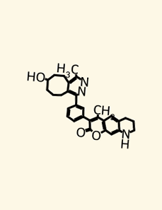 Cc1nnc(-c2cccc(-c3c(C)c4cc5c(cc4oc3=O)NCCC5)c2)c2c1CCC(O)CCC2